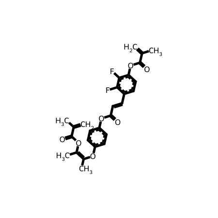 C=C(C)C(=O)OC(C)=C(C)Oc1ccc(OC(=O)/C=C/c2ccc(OC(=O)C(=C)C)c(F)c2F)cc1